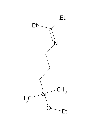 CCO[Si](C)(C)CCCN=C(CC)CC